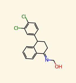 OC/N=C1\CCC(c2ccc(Cl)c(Cl)c2)c2ccccc21